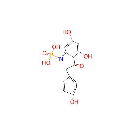 O=C(Cc1ccc(O)cc1)C1C(O)=CC(O)=CC1=NP(=O)(O)O